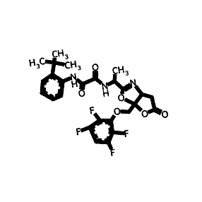 CC(NC(=O)C(=O)Nc1ccccc1C(C)(C)C)C1=NC2CC(=O)OC2(COc2c(F)c(F)cc(F)c2F)O1